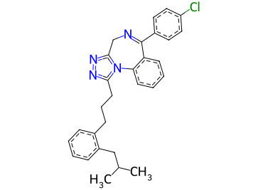 CC(C)Cc1ccccc1CCCc1nnc2n1-c1ccccc1C(c1ccc(Cl)cc1)=NC2